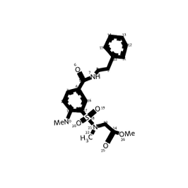 CNc1ccc(C(=O)NCCc2ccccc2)cc1S(=O)(=O)N(C)CC(=O)OC